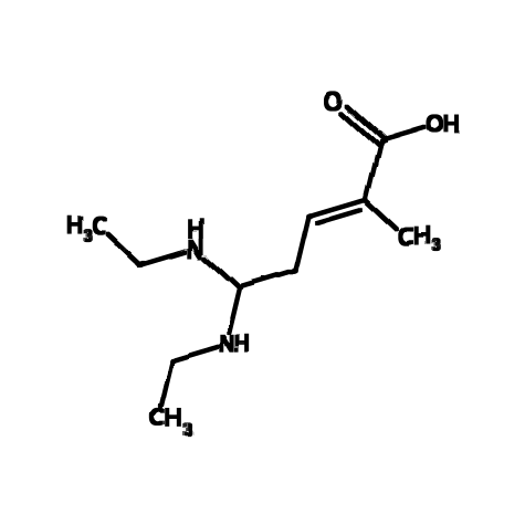 CCNC(C/C=C(\C)C(=O)O)NCC